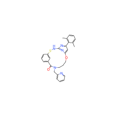 Cc1cccc(C)c1-c1cc2nc(n1)NSc1cccc(c1)C(=O)N(Cc1ccccn1)CCCO2